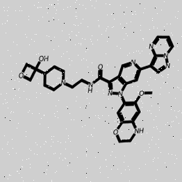 COc1cc2c(cc1-n1nc(C(=O)NCCN3CCC(C4(O)COC4)CC3)c3cnc(-c4cnn5cccnc45)cc31)OCCN2